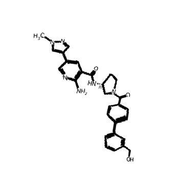 Cn1cc(-c2cnc(N)c(C(=O)N[C@@H]3CCN(C(=O)c4ccc(-c5cccc(CO)c5)cc4)C3)c2)cn1